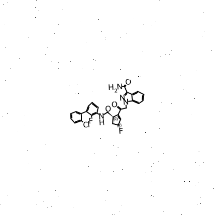 NC(=O)c1nn(CC(=O)C2=C[C@H](F)C[C@H]2C(=O)Nc2cccc(-c3ccccc3Cl)c2F)c2ccccc12